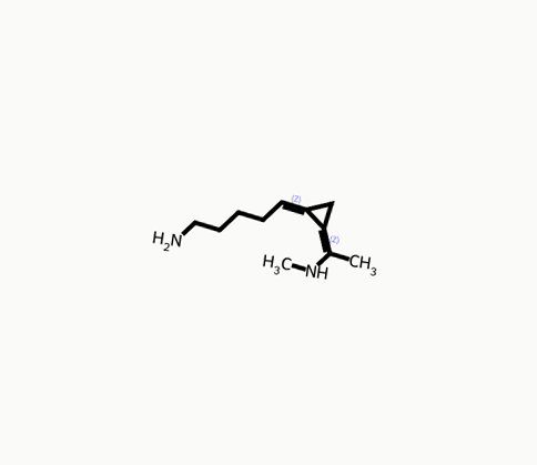 CN/C(C)=C1/C/C1=C/CCCCN